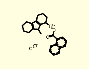 CC1C2=C(CCCC2)C2=C1[CH]([Ti+2][O]C(=O)c1cccc3ccccc13)CCC2.[Cl-].[Cl-]